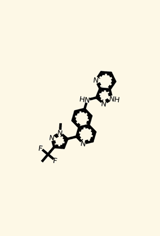 Cn1nc(C(C)(F)F)cc1-c1nccc2cc(Nc3n[nH]c4cccnc34)ccc12